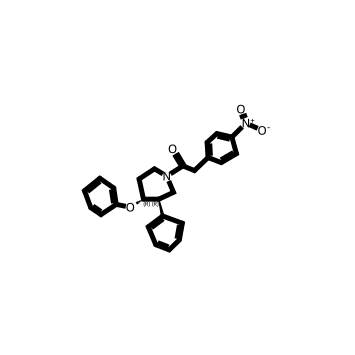 O=C(Cc1ccc([N+](=O)[O-])cc1)N1CC[C@@H](Oc2ccccc2)[C@H](c2ccccc2)C1